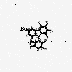 Cc1cc2cnn3c2c(c1C)B1c2c(cc(C(C)(C)C)cc2-3)-c2c(C)c(C)c(C)c(C)c21